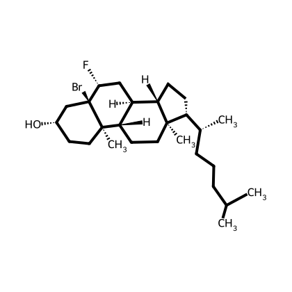 CC(C)CCC[C@@H](C)[C@H]1CC[C@H]2[C@@H]3C[C@@H](F)[C@@]4(Br)C[C@@H](O)CC[C@]4(C)[C@H]3CC[C@]12C